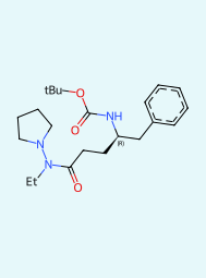 CCN(C(=O)CC[C@H](Cc1ccccc1)NC(=O)OC(C)(C)C)N1CCCC1